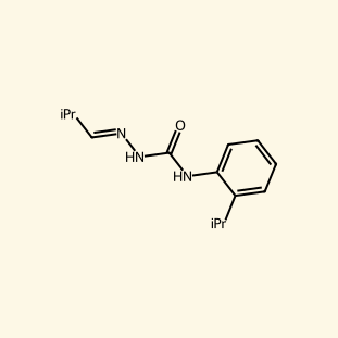 CC(C)/C=N/NC(=O)Nc1ccccc1C(C)C